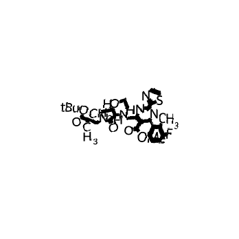 COC(=O)C1=C(CN2CCO[C@H]3CN(CC(C)(C)C(=O)OC(C)(C)C)C(=O)[C@H]32)NC(c2nccs2)=N[C@H]1c1cccc(F)c1C